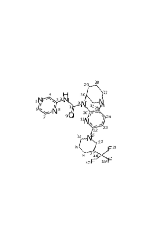 O=C(Nc1cnccn1)N1c2nc(N3CCCC(C(F)(F)F)C3)ccc2N2CCCC1C2